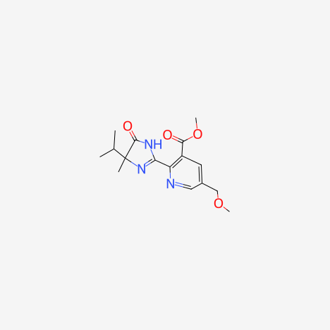 COCc1cnc(C2=NC(C)(C(C)C)C(=O)N2)c(C(=O)OC)c1